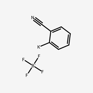 F[B-](F)(F)F.N#Cc1cccc[c]1[K]